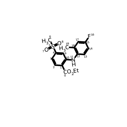 CCOC(=O)c1ccc(S(C)(=O)=O)cc1Nc1ccc(F)cc1C